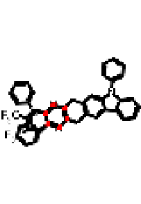 FC(F)(F)c1cc2nc3c(nc2cc1C(F)(F)F)C1c2cc4c(cc2C3c2cc3c5ccccc5n(-c5ccccc5)c3cc21)c1ccccc1n4-c1ccccc1